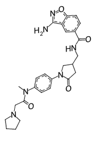 CN(C(=O)CN1CCCC1)c1ccc(N2CC(CNC(=O)c3ccc4onc(N)c4c3)CC2=O)cc1